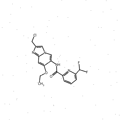 CCOc1cc2nc(CCl)cn2cc1NC(=O)c1cccc(C(F)F)n1